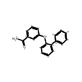 NC(=O)c1cccc(Oc2ccccc2-c2ccccc2)c1